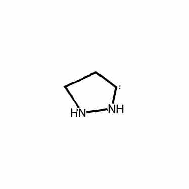 [C]1CCNN1